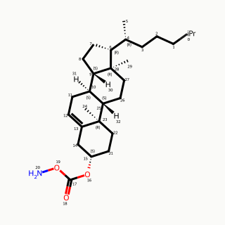 CC(C)CCC[C@@H](C)[C@H]1CC[C@H]2[C@@H]3CC=C4C[C@@H](OC(=O)ON)CC[C@]4(C)[C@H]3CC[C@]12C